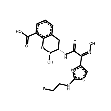 O=C(N[C@H]1Cc2cccc(C(=O)O)c2OB1O)/C(=N\O)c1csc(NCCF)n1